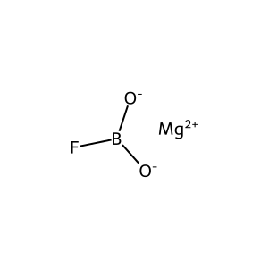 [Mg+2].[O-]B([O-])F